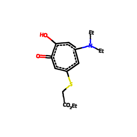 CCOC(=O)CSc1cc(N(CC)CC)cc(O)c(=O)c1